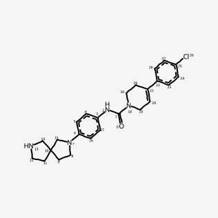 O=C(Nc1ccc(N2CCC3(CCNC3)C2)cc1)N1CC=C(c2ccc(Cl)cc2)CC1